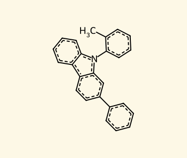 Cc1ccccc1-n1c2ccccc2c2ccc(-c3ccccc3)cc21